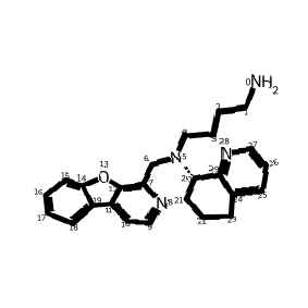 NCCCCN(Cc1nccc2c1oc1ccccc12)[C@H]1CCCc2cccnc21